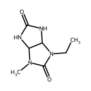 CCN1C(=O)N(C)C2NC(=O)NC21